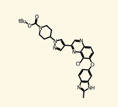 Cc1nc2ccc(Oc3ccc4ncc(-c5cnn(C6CCN(C(=O)OC(C)(C)C)CC6)c5)nc4c3Cl)cc2[nH]1